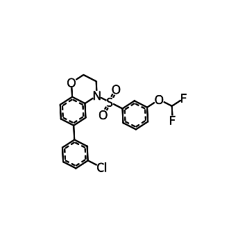 O=S(=O)(c1cccc(OC(F)F)c1)N1CCOc2ccc(-c3cccc(Cl)c3)cc21